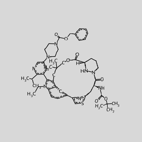 CCn1c(-c2cc(N3CCN(C(=O)OCc4ccccc4)CC3)cnc2C(C)C)c2c3cc(ccc31)-c1csc(n1)C[C@H](NC(=O)OC(C)(C)C)C(=O)N1CCC[C@H](N1)C(=O)OCC(C)(C)C2